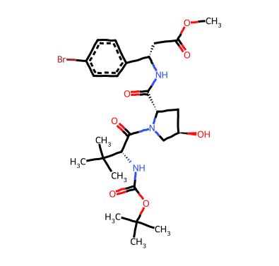 COC(=O)C[C@H](NC(=O)[C@@H]1C[C@@H](O)CN1C(=O)[C@H](NC(=O)OC(C)(C)C)C(C)(C)C)c1ccc(Br)cc1